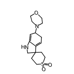 O=S1(=O)CCC2(CC1)CNC1=CC(N3CCOCC3)CC=C12